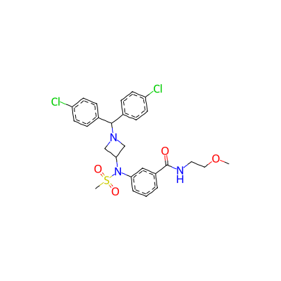 COCCNC(=O)c1cccc(N(C2CN(C(c3ccc(Cl)cc3)c3ccc(Cl)cc3)C2)S(C)(=O)=O)c1